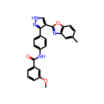 COc1cccc(C(=O)Nc2ccc(-c3n[nH]cc3-c3nc4cc(C)ccc4o3)cc2)c1